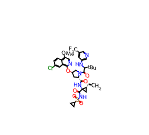 C=C[C@@H]1C[C@]1(NC(=O)[C@@H]1C[C@@H](Oc2ncc(OC)c3ccc(Cl)cc23)CN1C(=O)C(Nc1cncc(C(F)(F)F)c1)C(C)(C)C)C(=O)NS(=O)(=O)C1CC1